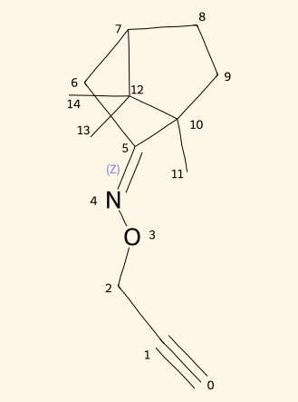 C#CCO/N=C1/CC2CCC1(C)C2(C)C